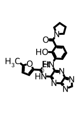 CC[C@@H](Nc1nc2c(nc1Nc1cccc(C(=O)N3CCCC3)c1O)=NCN=2)c1ccc(C)o1